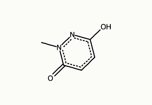 Cn1nc(O)ccc1=O